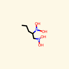 CCCC(CN(O)O)N(O)O